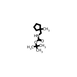 CC1(CNC(=O)OC(C)(C)C)CCCC1